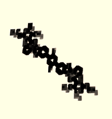 COC(=O)N[C@H](C(=O)N1CCC[C@H]1c1nc2cc(-c3cc(F)c(-c4ccc5[nH]c([C@@H]6CCCN6C(=O)[C@@H](NC(=O)OC)C(C)C)nc5c4)cc3F)ccc2[nH]1)C(C)C